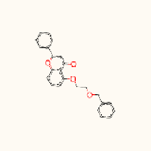 O=c1cc(-c2ccccc2)oc2cccc(OCCOCc3ccccc3)c12